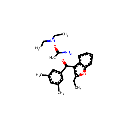 CC(N)=O.CCNCC.CCc1oc2ccccc2c1C(=O)c1cc(C)cc(C)c1